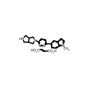 Cn1ccc2cc(-c3ccc(N4CC5CNCC5C4)nn3)ccc21.O=C(O)C=CC(=O)O